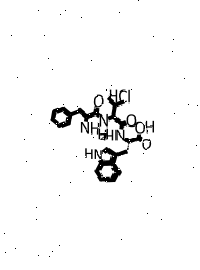 CC(C)C(NC(=O)C(N)Cc1ccccc1)C(=O)N[C@@H](Cc1c[nH]c2ccccc12)C(=O)O.Cl